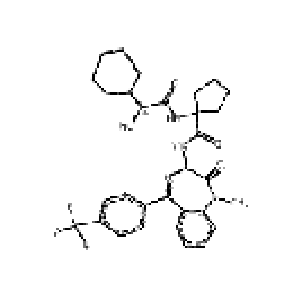 CN1C(=O)C(NC(=O)C2(NC(=O)[C@@H](O)C3CCCCC3)CCCC2)N=C(c2ccc(C(F)(F)F)cc2)c2ccccc21